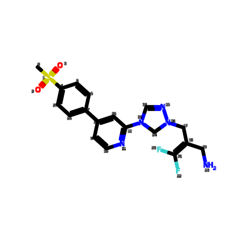 CS(=O)(=O)c1ccc(-c2ccnc(N3C=NN(CC(CN)=C(F)F)C3)c2)cc1